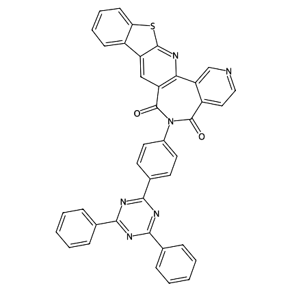 O=c1c2ccncc2c2nc3sc4ccccc4c3cc2c(=O)n1-c1ccc(-c2nc(-c3ccccc3)nc(-c3ccccc3)n2)cc1